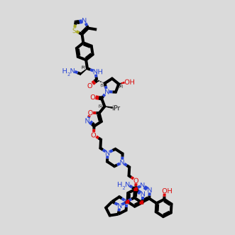 Cc1ncsc1-c1ccc([C@H](CN)NC(=O)[C@@H]2C[C@@H](O)CN2C(=O)[C@H](c2cc(OCCN3CCN(CCOc4cc(N5C6CCC5CN(c5cc(-c7ccccc7O)nnc5N)C6)ccn4)CC3)no2)C(C)C)cc1